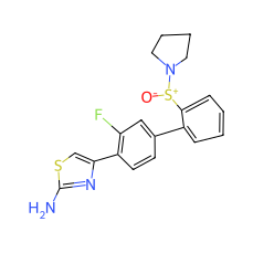 Nc1nc(-c2ccc(-c3ccccc3[S+]([O-])N3CCCC3)cc2F)cs1